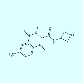 C=Nc1ccc(C(F)(F)F)cc1C(=C)N(C)CC(=O)NC1CNC1